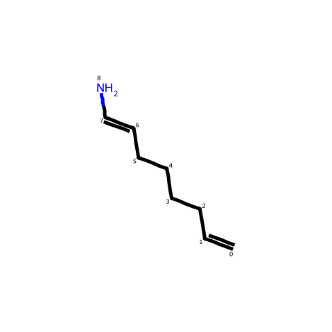 C=CCCCCC=CN